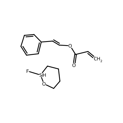 C=CC(=O)O/C=C/c1ccccc1.F[SiH]1CCCCO1